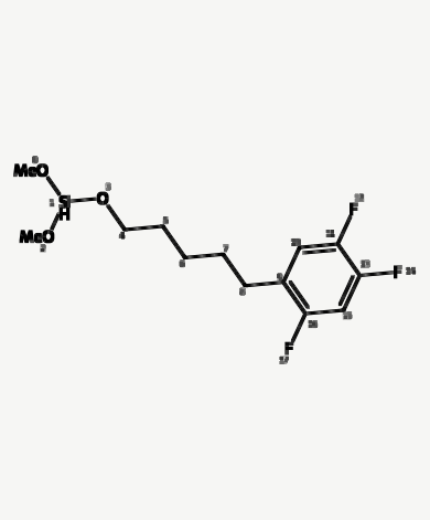 CO[SiH](OC)OCCCCCc1cc(F)c(F)cc1F